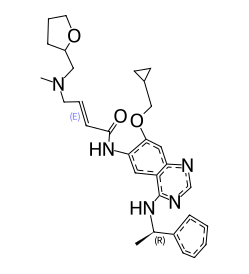 C[C@@H](Nc1ncnc2cc(OCC3CC3)c(NC(=O)/C=C/CN(C)CC3CCCO3)cc12)c1ccccc1